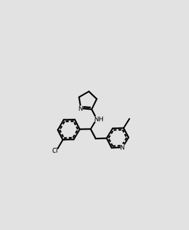 Cc1cncc(CC(NC2=NCCC2)c2cccc(Cl)c2)c1